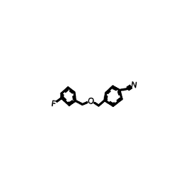 N#Cc1ccc(COCc2cccc(F)c2)cc1